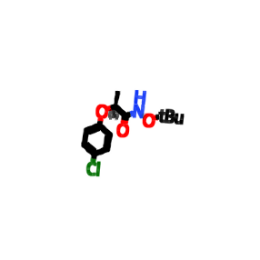 C[C@H](Oc1ccc(Cl)cc1)C(=O)NOC(C)(C)C